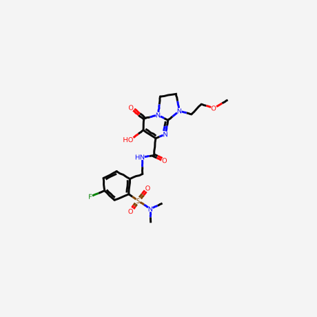 COCCN1CCn2c1nc(C(=O)NCc1ccc(F)cc1S(=O)(=O)N(C)C)c(O)c2=O